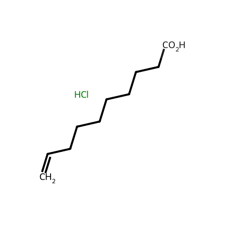 C=CCCCCCCCC(=O)O.Cl